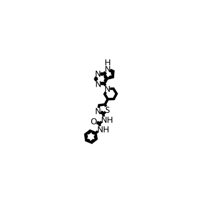 O=C(NC1=NCC(C2CCCN(c3ncnc4[nH]ccc34)C2)S1)Nc1ccccc1